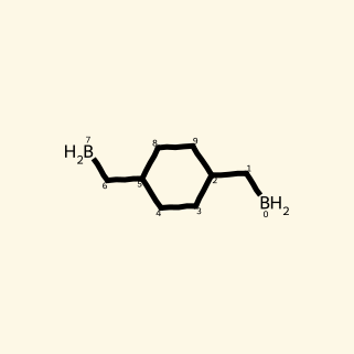 BCC1CCC(CB)CC1